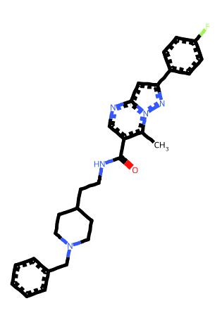 Cc1c(C(=O)NCCC2CCN(Cc3ccccc3)CC2)cnc2cc(-c3ccc(F)cc3)nn12